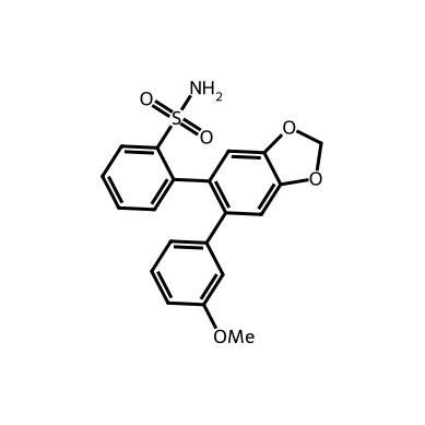 COc1cccc(-c2cc3c(cc2-c2ccccc2S(N)(=O)=O)OCO3)c1